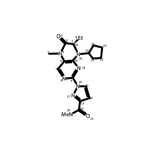 CC[C@@H]1C(=O)N(C)c2cnc(-n3ccc(C(=O)NC)n3)nc2N1C1CCCC1